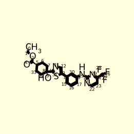 CCOC(=O)[C@H]1CC[C@@](O)(c2ncc(-c3cccc(Nc4nccc(C(F)(F)F)n4)c3)s2)CC1